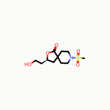 CS(=O)(=O)N1CCC2(CC1)C[C@@H](CCO)OC2=O